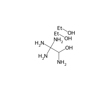 CCO.CCO.NC(O)C(N)(N)N